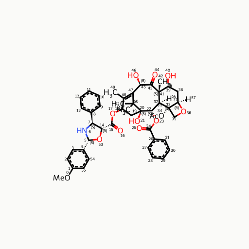 COc1ccc([C@@H]2N[C@@H](c3ccccc3)[C@H](C(=O)OC3C[C@@]4(O)[C@@H](OC(=O)c5ccccc5)[C@@H]5[C@]6(OC(C)=O)CO[C@@H]6C[C@H](O)[C@@]5(C)C(=O)[C@H](O)C(=C3C)C4(C)C)O2)cc1